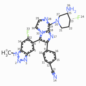 Cn1nnc2cc(-c3c(-c4ccc(C#N)cc4)nc4c(N5CC[C@@H](F)[C@@H](N)C5)nccn34)c(F)cc21